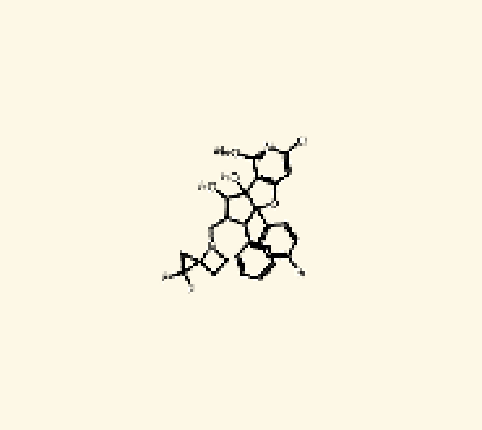 COc1nc(Cl)cc2c1C1(O)C(O)C(CN3CCC34CC4(F)F)C(c3ccccc3)C1(c1ccc(Br)cc1)O2